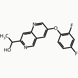 CC(O)c1cc2ncc(Oc3ccc(F)cc3F)cc2cn1